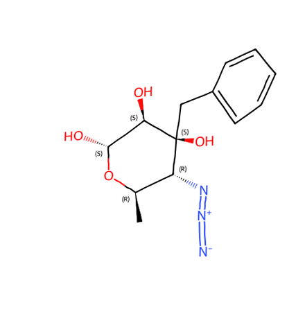 C[C@H]1O[C@H](O)[C@@H](O)[C@](O)(Cc2ccccc2)[C@@H]1N=[N+]=[N-]